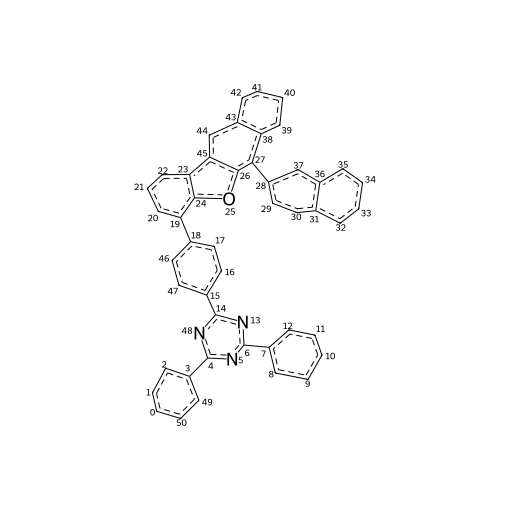 c1ccc(-c2nc(-c3ccccc3)nc(-c3ccc(-c4cccc5c4oc4c(-c6ccc7ccccc7c6)c6ccccc6cc45)cc3)n2)cc1